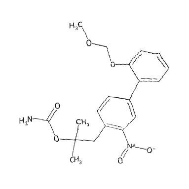 COCOc1ccccc1-c1ccc(CC(C)(C)OC(N)=O)c([N+](=O)[O-])c1